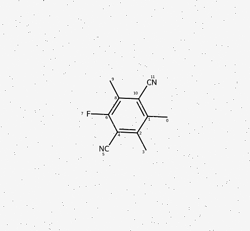 Cc1c(C)c(C#N)c(F)c(C)c1C#N